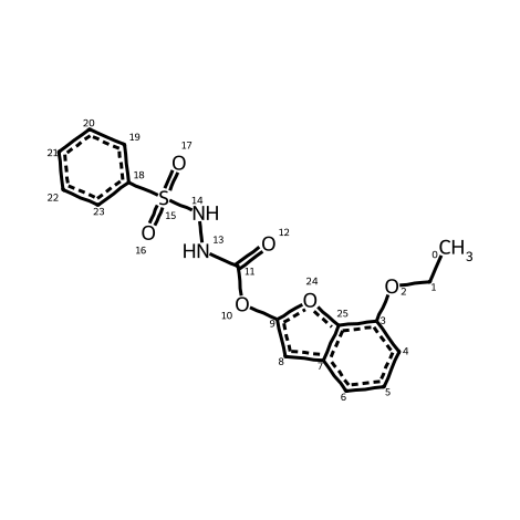 CCOc1cccc2cc(OC(=O)NNS(=O)(=O)c3ccccc3)oc12